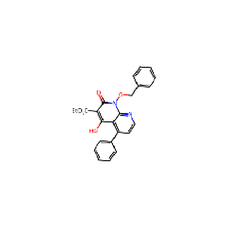 CCOC(=O)c1c(O)c2c(-c3ccccc3)ccnc2n(OCc2ccccc2)c1=O